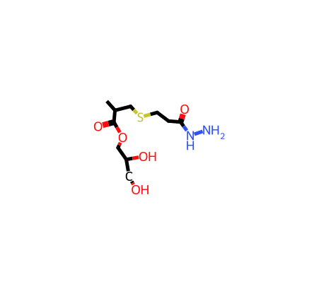 CC(CSCCC(=O)NN)C(=O)OCC(O)CO